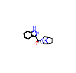 CN1C2CCC1CN(C(=O)c1n[nH]c3ccccc13)C2